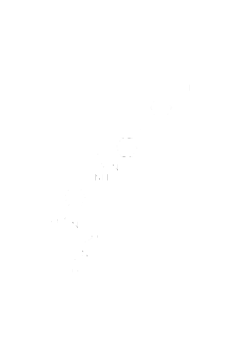 O=C1CCC(N2Cc3cc(CNC(=O)Nc4ccc(OCc5ccc(CO)cc5)cc4)ccc3C2=O)C(=O)N1